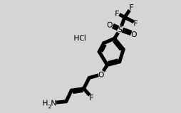 Cl.NCC=C(F)COc1ccc(S(=O)(=O)C(F)(F)F)cc1